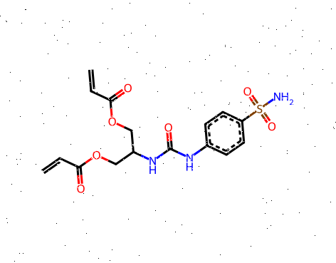 C=CC(=O)OCC(COC(=O)C=C)NC(=O)Nc1ccc(S(N)(=O)=O)cc1